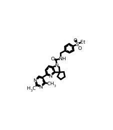 CCS(=O)(=O)c1ccc(CNC(=O)N2CC3(CCCC3)c3nc(-c4cnc(C)nc4C)ccc32)cc1